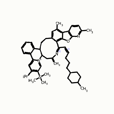 C=C1CC2C(CCc3cc(C)c4c(oc5nc(C)ccc54)c3C(/C=C\CCCC3CCC(C)CC3)=N\1)c1ccccc1-c1cc(C(C)C)c([Si](C)(C)C)c[n+]12